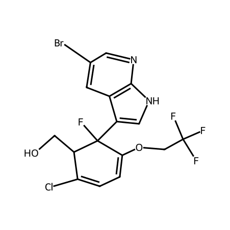 OCC1C(Cl)=CC=C(OCC(F)(F)F)C1(F)c1c[nH]c2ncc(Br)cc12